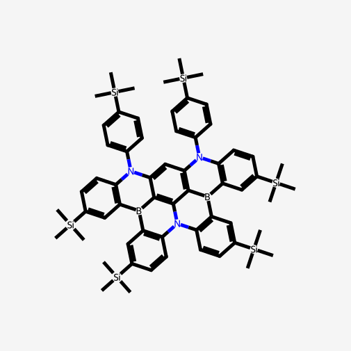 C[Si](C)(C)c1ccc(N2c3ccc([Si](C)(C)C)cc3B3c4cc([Si](C)(C)C)ccc4N4c5ccc([Si](C)(C)C)cc5B5c6cc([Si](C)(C)C)ccc6N(c6ccc([Si](C)(C)C)cc6)c6cc2c3c4c65)cc1